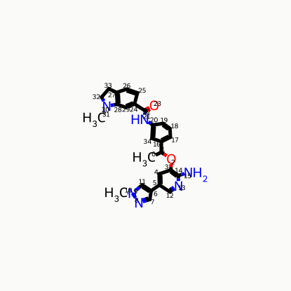 CC(Oc1cc(-c2cnn(C)c2)cnc1N)c1cccc(NC(=O)c2ccc3c(c2)N(C)CC3)c1